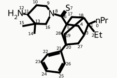 CCCC1(CC)C2CC3(C(=S)N4CC[C@H](N)C(C)(C)C4)CC1CC(c1ccccc1)(C2)C3